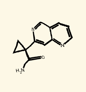 NC(=O)C1(c2cc3ncccc3cn2)CC1